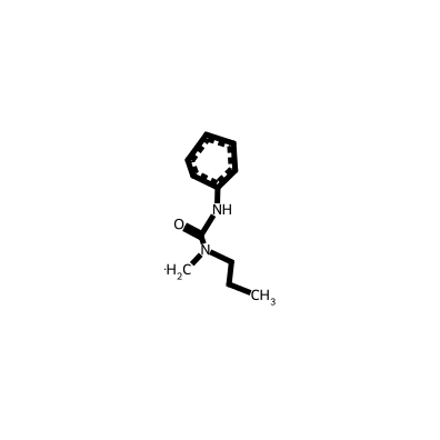 [CH2]N(CCC)C(=O)Nc1ccccc1